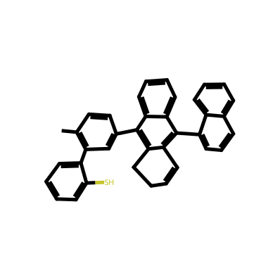 Cc1ccc(-c2c3c(c(-c4cccc5ccccc45)c4ccccc24)C=CCC3)cc1-c1ccccc1S